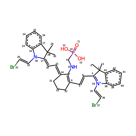 CC1(C)C(/C=C/C2=C(NCP(=O)(O)O)C(=C/C=C3/N(/C=C/Br)c4ccccc4C3(C)C)/CCC2)=[N+](/C=C/Br)c2ccccc21